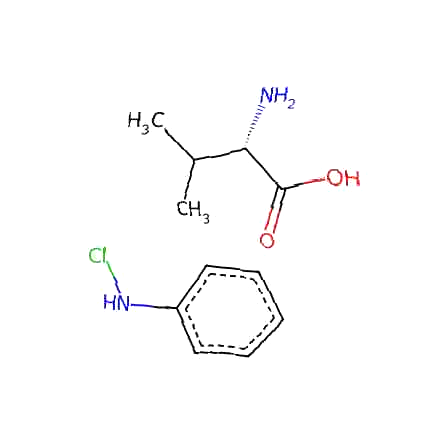 CC(C)[C@H](N)C(=O)O.ClNc1ccccc1